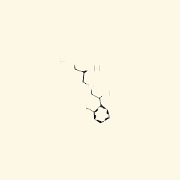 C=C(CC)COCC(C)c1ccccc1Cl